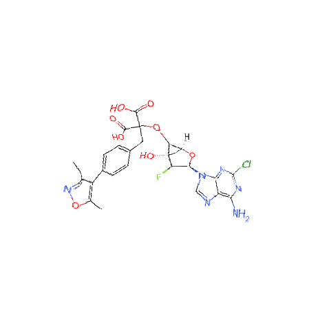 Cc1noc(C)c1-c1ccc(CC(OC2[C@H]3O[C@@H](n4cnc5c(N)nc(Cl)nc54)[C@@H](F)[C@@]23O)(C(=O)O)C(=O)O)cc1